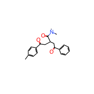 Cc1ccc(C(=O)CC(CC(=O)c2ccccc2)C(=O)N(C)C)cc1